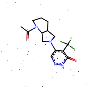 CC(=O)N1CCCC2CN(c3cn[nH]c(=O)c3C(F)(F)F)CC21